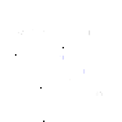 COc1ccc2c(C)cc(-c3nc(C(C)C)cs3)nc2c1